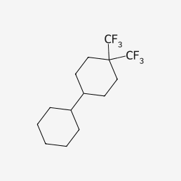 FC(F)(F)C1(C(F)(F)F)CCC(C2CCCCC2)CC1